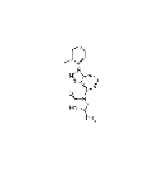 CC1CN(c2cccc3c2cnn3-c2ccccc2F)C(=O)N1